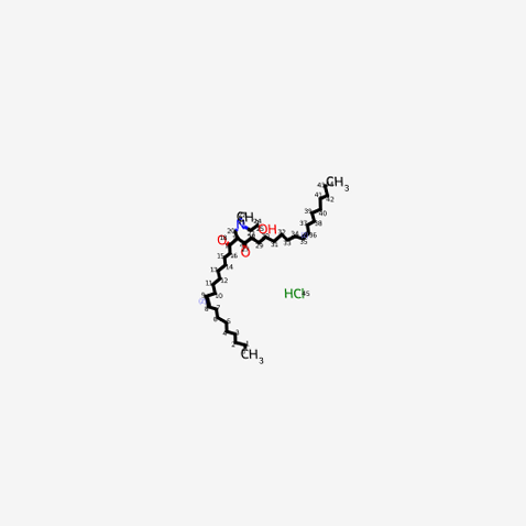 CCCCCCCC/C=C\CCCCCCCC(=O)C(CN(C)CCO)C(=O)CCCCCCC/C=C\CCCCCCCC.Cl